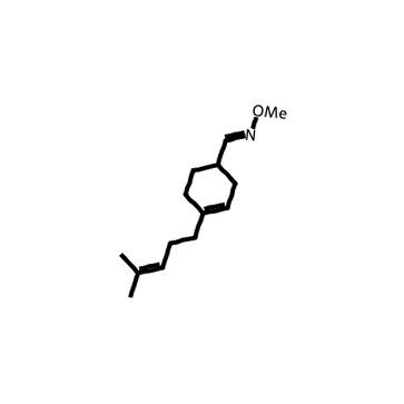 CON=CC1CC=C(CCC=C(C)C)CC1